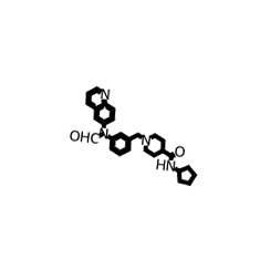 O=CN(c1cccc(CN2CCC(C(=O)NC3CCCC3)CC2)c1)c1ccc2ncccc2c1